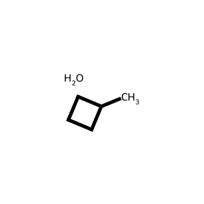 CC1CCC1.O